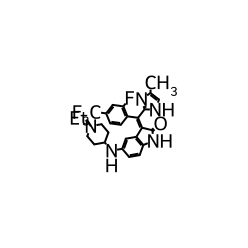 CCN1CCC(Nc2ccc3c(c2)C(=C(c2nc(C)c[nH]2)c2ccc(C(F)(F)F)cc2F)C(=O)N3)CC1